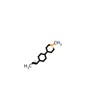 C/C=C/C1CCC(C2CCP(C)CC2)CC1